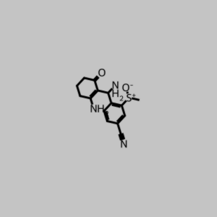 C[S+]([O-])c1cc(C#N)ccc1C(N)C1=C(N)CCCC1=O